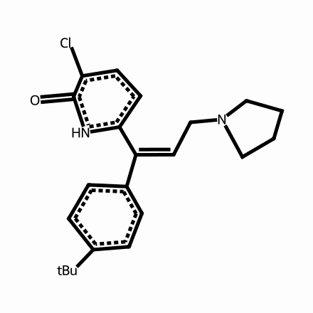 CC(C)(C)c1ccc(C(=CCN2CCCC2)c2ccc(Cl)c(=O)[nH]2)cc1